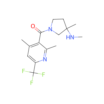 CNC1(C)CCN(C(=O)c2c(C)cc(C(F)(F)F)nc2C)C1